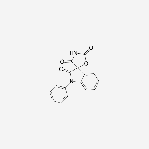 O=C1NC(=O)C2(O1)C(=O)N(c1ccccc1)c1ccccc12